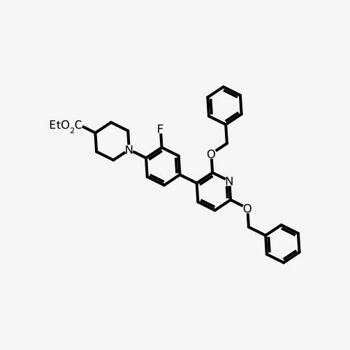 CCOC(=O)C1CCN(c2ccc(-c3ccc(OCc4ccccc4)nc3OCc3ccccc3)cc2F)CC1